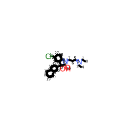 CCN(CC)CCCN1C(=O)C(O)(c2ccc3ccccc3c2)c2cc(Cl)ccc21